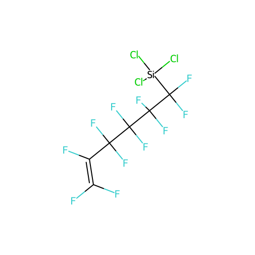 FC(F)=C(F)C(F)(F)C(F)(F)C(F)(F)C(F)(F)[Si](Cl)(Cl)Cl